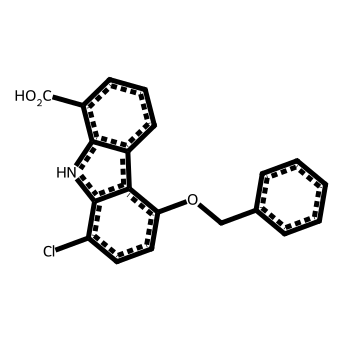 O=C(O)c1cccc2c1[nH]c1c(Cl)ccc(OCc3ccccc3)c12